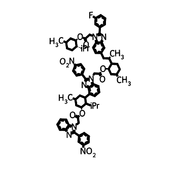 CC1CC(c2cccc3c2nc(-c2ccc([N+](=O)[O-])cc2)n3CC(=O)O[C@@H]2CC(C)CCC2[C@H](C)Cc2ccc3c(c2)nc(-c2cccc(F)c2)n3CC(=O)O[C@@H]2CC(C)CC[C@H]2C(C)C)C(C(C)C)[C@H](OC(=O)Cn2c(-c3cccc([N+](=O)[O-])c3)nc3ccccc32)C1